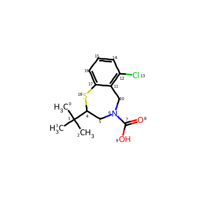 CC(C)(C)C1CN(C(=O)O)Cc2c(Cl)cccc2S1